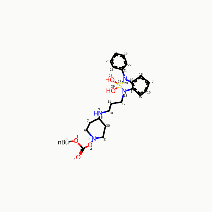 CCCCOC(=O)ON1CCC(NCCCN2c3ccccc3N(c3ccccc3)S2(O)O)CC1